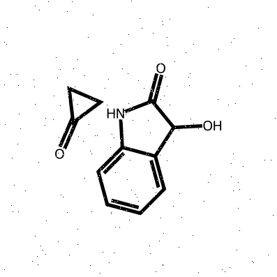 O=C1CC1.O=C1Nc2ccccc2C1O